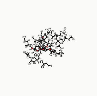 CCCC(=O)OCC(COCC(COCC(COCC(COC(=O)CCC)(CC(C)COOC)CC(C)COOC)(COC(=O)CCC)CC(C)COOC)(COC(=O)CCC)CC(C)COOC)(COCC(COCC(COC(=O)CCC)(COC(=O)CCC)CC(C)COOC)(COC(=O)CCC)CC(C)COOC)CC(C)COOC